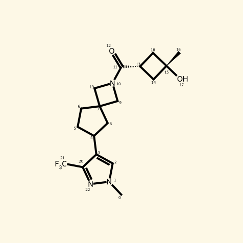 Cn1cc(C2CCC3(C2)CN(C(=O)[C@H]2C[C@@](C)(O)C2)C3)c(C(F)(F)F)n1